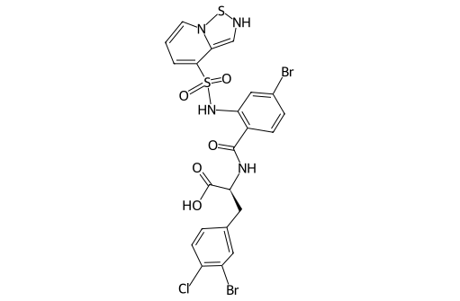 O=C(N[C@@H](Cc1ccc(Cl)c(Br)c1)C(=O)O)c1ccc(Br)cc1NS(=O)(=O)C1=CC=CN2SNC=C12